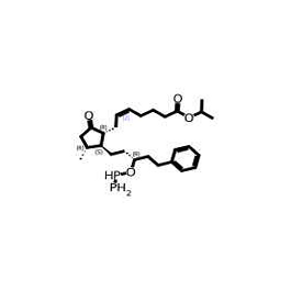 CC(C)OC(=O)CCC/C=C\C[C@H]1C(=O)C[C@@H](C)[C@@H]1CC[C@H](CCc1ccccc1)OPP